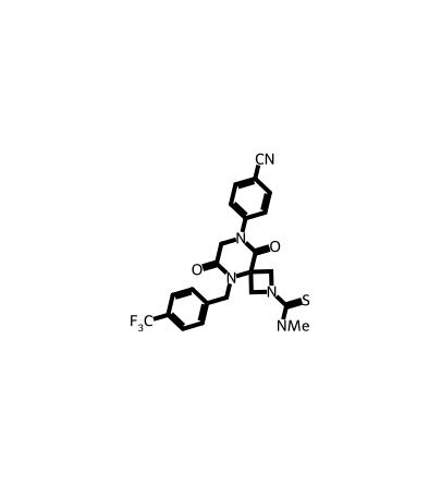 CNC(=S)N1CC2(C1)C(=O)N(c1ccc(C#N)cc1)CC(=O)N2Cc1ccc(C(F)(F)F)cc1